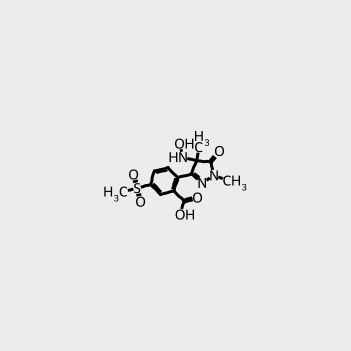 CN1N=C(c2ccc(S(C)(=O)=O)cc2C(=O)O)C(C)(NO)C1=O